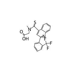 CN(CC(=O)O)C(=S)c1cc(-c2ccccc2C(F)(F)F)nc2ccccc12